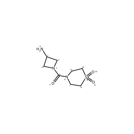 NC1CN(C(=O)N2CCS(=O)(=O)CC2)C1